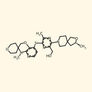 Cc1nc(N2CCC3(CC2)CO[C@@H](C)C3)c(CO)nc1Sc1ccnc2c1OCC1(CCOCC1)N2C